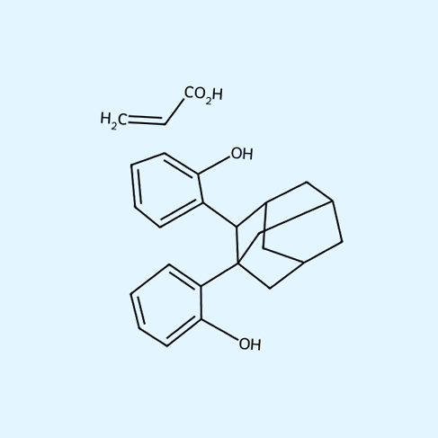 C=CC(=O)O.Oc1ccccc1C1C2CC3CC(C2)CC1(c1ccccc1O)C3